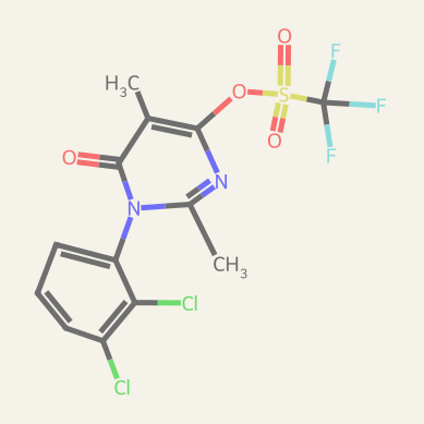 Cc1c(OS(=O)(=O)C(F)(F)F)nc(C)n(-c2cccc(Cl)c2Cl)c1=O